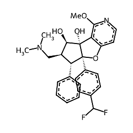 COc1nccc2c1[C@]1(O)[C@H](O)[C@H](CN(C)C)[C@@H](c3ccccc3)[C@]1(c1ccc(C(F)F)cc1)O2